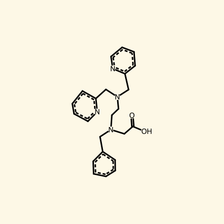 O=C(O)CN(CCN(Cc1ccccn1)Cc1ccccn1)Cc1ccccc1